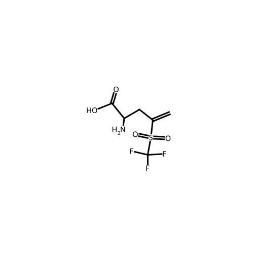 C=C(CC(N)C(=O)O)S(=O)(=O)C(F)(F)F